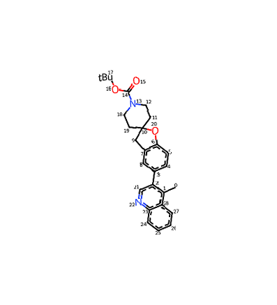 Cc1c(-c2ccc3c(c2)CC2(CCN(C(=O)OC(C)(C)C)CC2)O3)cnc2ccccc12